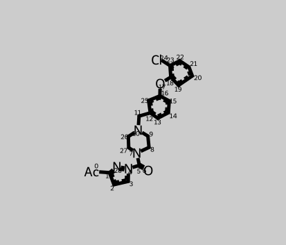 CC(=O)c1ccn(C(=O)N2CCN(Cc3cccc(Oc4ccccc4Cl)c3)CC2)n1